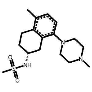 Cc1ccc(N2CCN(C)CC2)c2c1CC[C@@H](NS(C)(=O)=O)C2